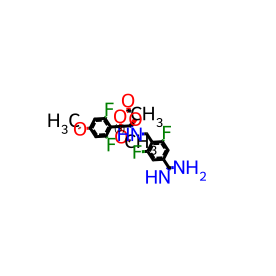 COc1cc(F)c([C@](OC)(OC(C)=O)C(=O)NCc2c(F)cc(C(=N)N)cc2F)c(F)c1